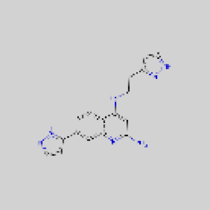 Nc1cc(NCCc2cc[nH]n2)c2ccc(-c3ccn[nH]3)cc2n1